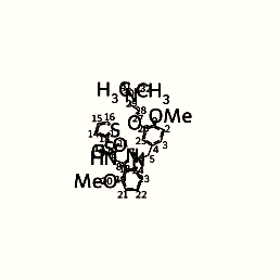 COc1ccc(Cn2nc(NS(=O)(=O)c3cccs3)c3c(OC)cccc32)cc1OCCN(C)C